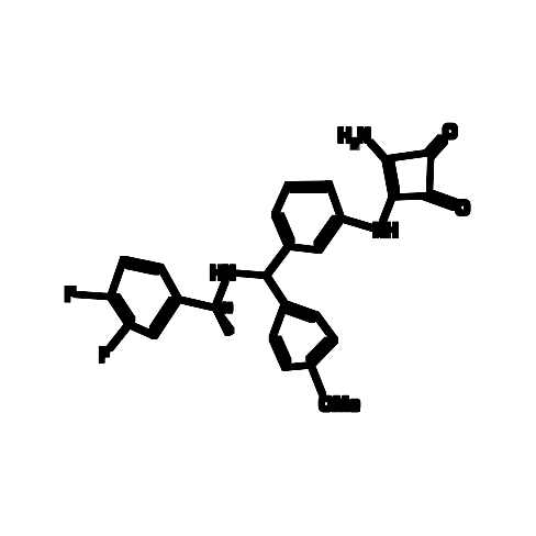 COc1ccc(C(N[C@@H](C)c2ccc(F)c(F)c2)c2cccc(Nc3c(N)c(=O)c3=O)c2)cc1